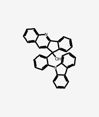 OC1(c2ccccc2-n2c3ccccc3c3ccccc32)c2ccccc2-c2nc3ccccc3cc21